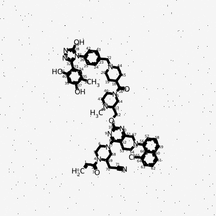 C=CC(=O)N1CCN(c2nc(OCC3CN(C(=O)C4CCN(Cc5ccc(-n6c(O)nnc6-c6cc(C)c(O)cc6O)cc5)CC4)CCN3C)nc3c2CCN(c2cccc4cccc(Cl)c24)C3)CC1CC#N